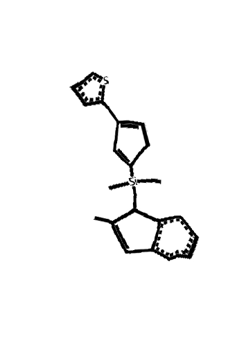 CC1=Cc2ccccc2C1[Si](C)(C)C1=CC(c2cccs2)=CC1